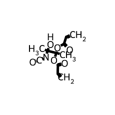 C=CC(=O)OC(C)(OC(=O)C=C)C(C)(O)N=C=O